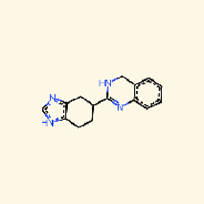 c1ccc2c(c1)CNC(C1CCc3[nH]cnc3C1)=N2